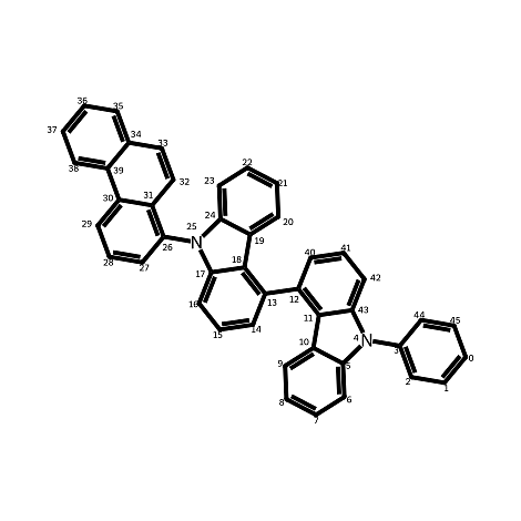 c1ccc(-n2c3ccccc3c3c(-c4cccc5c4c4ccccc4n5-c4cccc5c4ccc4ccccc45)cccc32)cc1